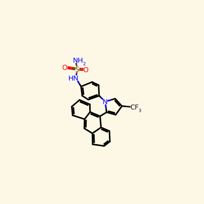 NS(=O)(=O)Nc1ccc(-n2cc(C(F)(F)F)cc2-c2c3ccccc3cc3ccccc23)cc1